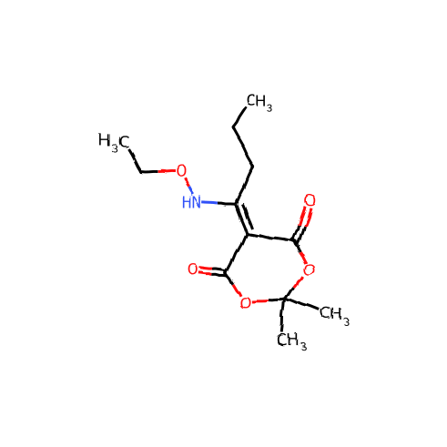 CCCC(NOCC)=C1C(=O)OC(C)(C)OC1=O